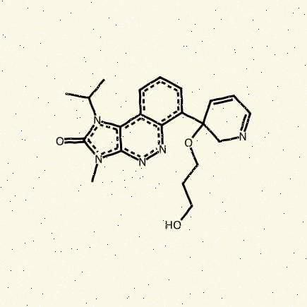 CC(C)n1c(=O)n(C)c2nnc3c(C4(OCCCO)C=CC=NC4)cccc3c21